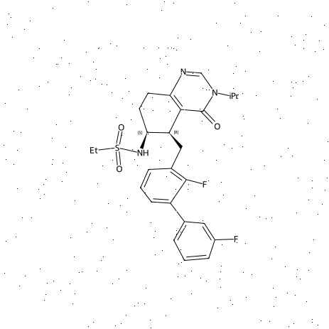 CCS(=O)(=O)N[C@H]1CCc2ncn(C(C)C)c(=O)c2[C@H]1Cc1cccc(-c2cccc(F)c2)c1F